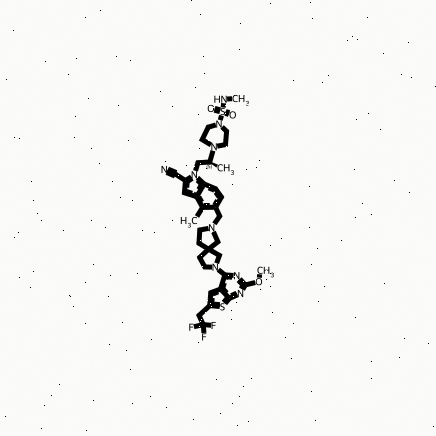 CNS(=O)(=O)N1CCN([C@@H](C)Cn2c(C#N)cc3c(C)c(CN4CCC5(CCN(c6nc(OC)nc7sc(CC(F)(F)F)cc67)C5)C4)ccc32)CC1